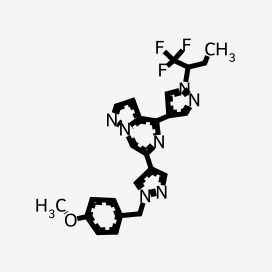 CCC(n1cc(-c2nc(-c3cnn(Cc4ccc(OC)cc4)c3)cn3nccc23)cn1)C(F)(F)F